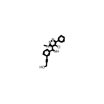 CNc1nnc(-c2ccccc2)c(Cl)c1C(=N)c1cccc(C#CCO)c1